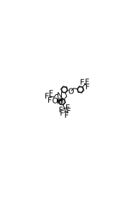 OC(CNc1cccc(OCc2cccc(C(F)(F)F)c2)c1Cc1cccc(C(F)(F)C(F)(F)F)c1)C(F)(F)F